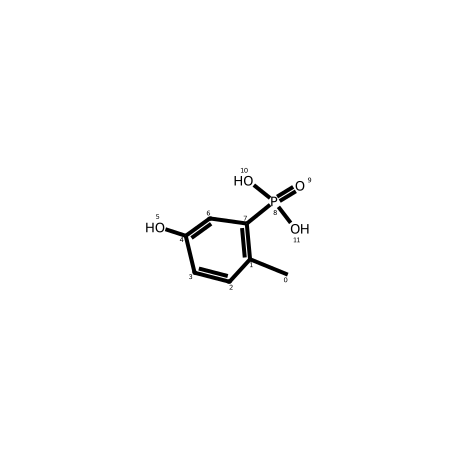 Cc1ccc(O)cc1P(=O)(O)O